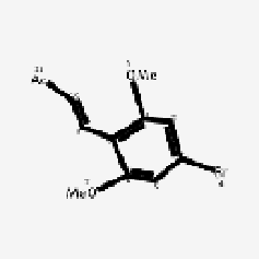 COc1cc(Br)cc(OC)c1/C=C/C(C)=O